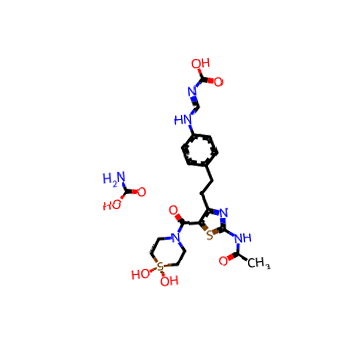 CC(=O)Nc1nc(CCc2ccc(NC=NC(=O)O)cc2)c(C(=O)N2CCS(O)(O)CC2)s1.NC(=O)O